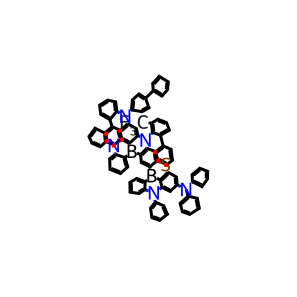 FC(F)(F)c1cccc(-c2ccccc2)c1N1c2cc3c(cc2B2c4ccccc4N(c4ccccc4)c4cc(N(c5ccc(-c6ccccc6)cc5)c5ccccc5-c5ccccc5)cc1c42)B1c2ccccc2N(c2ccccc2)c2cc(N(c4ccccc4)c4ccccc4)cc(c21)S3